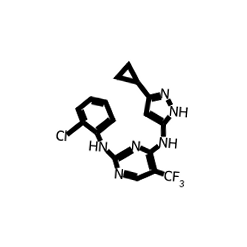 FC(F)(F)c1cnc(Nc2ccccc2Cl)nc1Nc1cc(C2CC2)n[nH]1